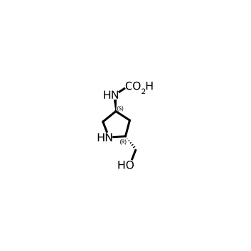 O=C(O)N[C@@H]1CN[C@@H](CO)C1